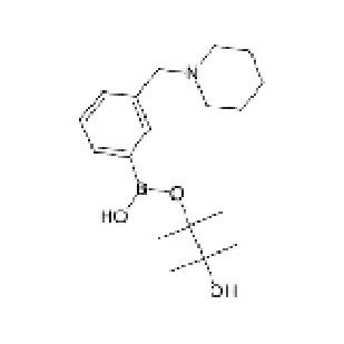 CC(C)(O)C(C)(C)OB(O)c1cccc(CN2CCCCC2)c1